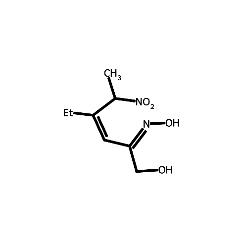 CCC(=CC(CO)=NO)C(C)[N+](=O)[O-]